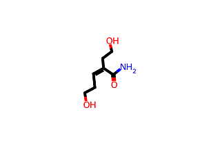 NC(=O)C(=CCCO)CCO